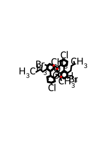 CCCCc1c(Br)ccc(S(=O)(=O)c2ccc(Br)c(CCCC)c2-c2ccc(Cl)cc2CC(C)C)c1-c1ccc(Cl)cc1CC(C)C